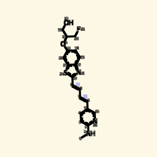 CNc1ccc(/C=C/C=C/c2nc3ccc(OC(CO)CF)cc3s2)cn1